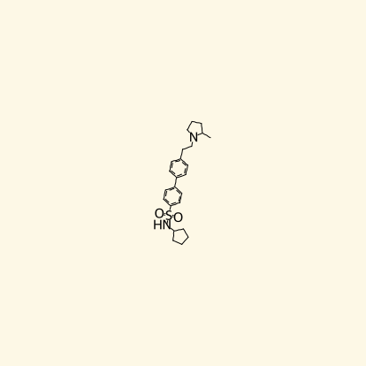 CC1CCCN1CCc1ccc(-c2ccc(S(=O)(=O)NC3CCCC3)cc2)cc1